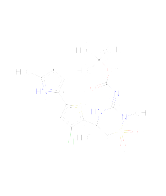 Cc1ccc(-c2cc(Cl)c([C@]3(C)CS(=O)(=O)N(C)/C(=N/C(=O)OC(C)(C)C)N3)s2)[nH]1